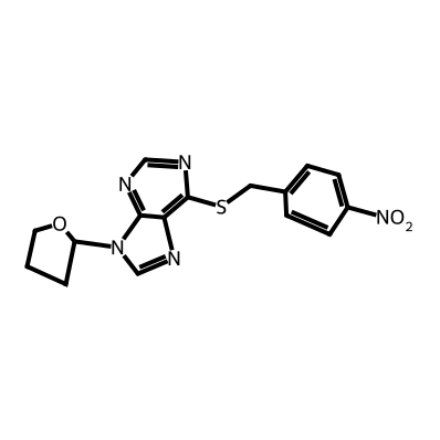 O=[N+]([O-])c1ccc(CSc2ncnc3c2ncn3C2CCCO2)cc1